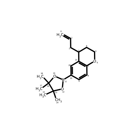 C=CCC1CCOc2ccc(B3OC(C)(C)C(C)(C)O3)cc21